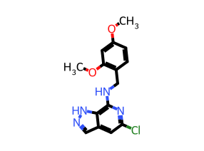 COc1ccc(CNc2nc(Cl)cc3cn[nH]c23)c(OC)c1